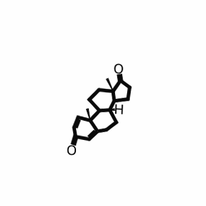 C[C@]12C=CC(=O)C=C1CC[C@@H]1C2CC[C@]2(C)C(=O)CCC12